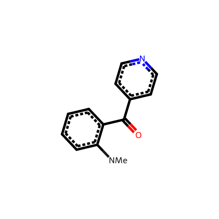 CNc1ccccc1C(=O)c1ccncc1